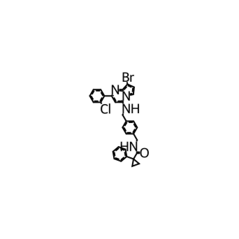 O=C(NCc1ccc(CNc2cc(-c3ccccc3Cl)nc3c(Br)ccn23)cc1)C1(c2ccccc2)CC1